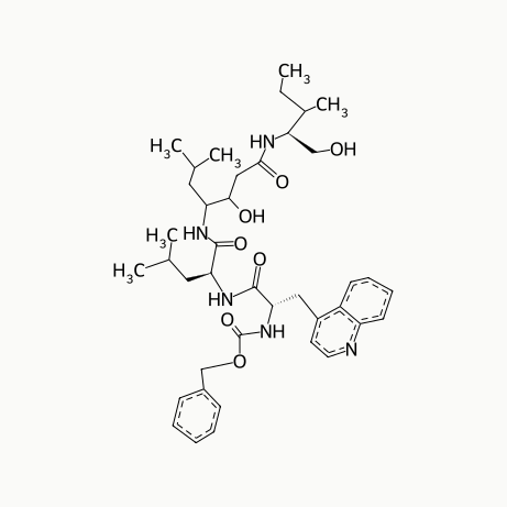 CCC(C)[C@@H](CO)NC(=O)CC(O)C(CC(C)C)NC(=O)[C@H](CC(C)C)NC(=O)[C@H](Cc1ccnc2ccccc12)NC(=O)OCc1ccccc1